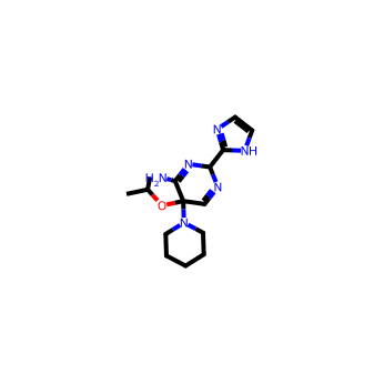 CC(C)OC1(N2CCCCC2)C=NC(c2ncc[nH]2)N=C1N